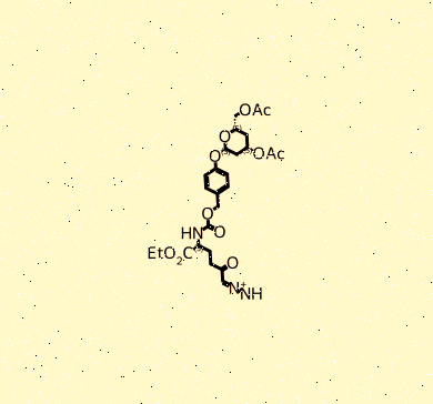 CCOC(=O)[C@H](CCC(=O)C=[N+]=N)NC(=O)OCc1ccc(O[C@H]2C[C@@H](OC(C)=O)C[C@@H](COC(C)=O)O2)cc1